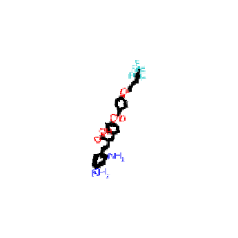 Nc1ccc(CCC(=Cc2ccc(OC(=O)c3ccc(OCCCC(F)(F)C(F)(F)F)cc3)cc2)C(=O)O)c(N)c1